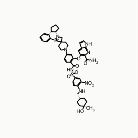 CC(C)c1ccccc1[C@@H]1CCC[C@@H]1N1CC2(CCN(c3ccc(C(=O)NS(=O)(=O)c4ccc(NC[C@H]5CC[C@](C)(O)CC5)c([N+](=O)[O-])c4)c(Oc4cc5cc[nH]c5nc4C(N)=O)c3)CC2)C1